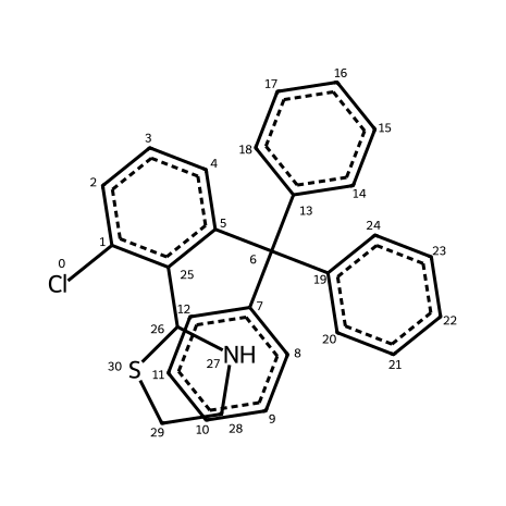 Clc1cccc(C(c2ccccc2)(c2ccccc2)c2ccccc2)c1C1NCCS1